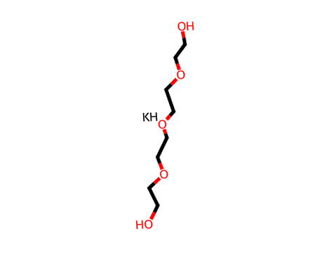 OCCOCCOCCOCCO.[KH]